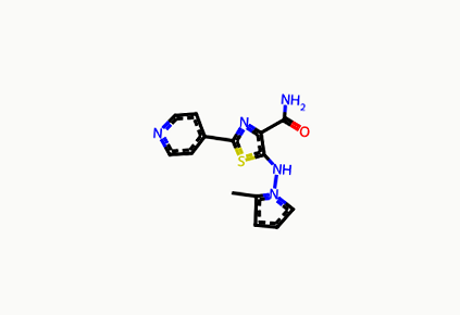 Cc1cccn1Nc1sc(-c2ccncc2)nc1C(N)=O